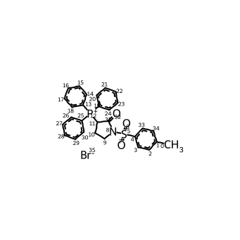 Cc1ccc(S(=O)(=O)N2CCC([P+](c3ccccc3)(c3ccccc3)c3ccccc3)C2=O)cc1.[Br-]